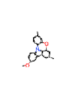 COc1ccc2c(c1)c1cc(C)cc3c1n2-c1ccc(C)cc1O3